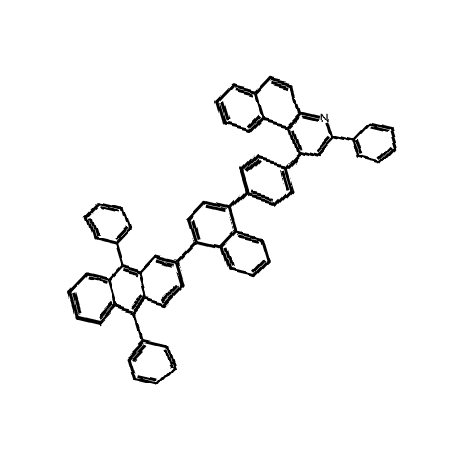 c1ccc(-c2cc(-c3ccc(-c4ccc(-c5ccc6c(-c7ccccc7)c7ccccc7c(-c7ccccc7)c6c5)c5ccccc45)cc3)c3c(ccc4ccccc43)n2)cc1